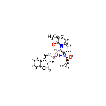 Cc1ccccc1C1CCC(OCC2C(N[S+]([O-])C3CC3)CCc3ccc(C)c(=O)n32)CC1